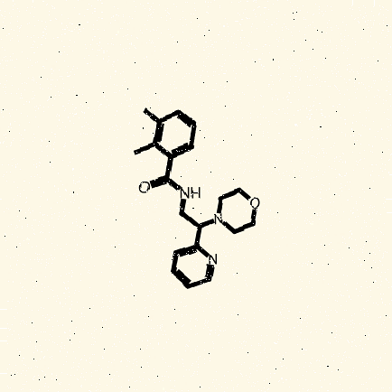 Cc1cccc(C(=O)NCC(c2ccccn2)N2CCOCC2)c1C